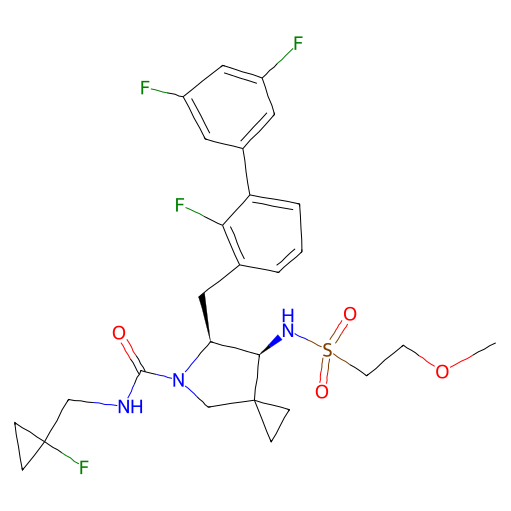 COCCS(=O)(=O)N[C@@H]1[C@H](Cc2cccc(-c3cc(F)cc(F)c3)c2F)N(C(=O)NCC2(F)CC2)CC12CC2